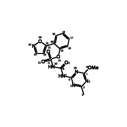 COc1nc(C)nc(NC(=O)NS(=O)(=O)Oc2ccccc2-c2ccno2)n1